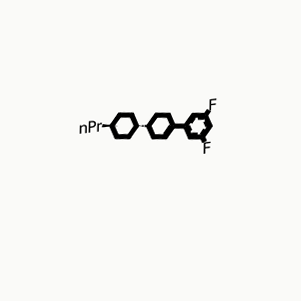 CCC[C@H]1CC[C@H](C2CC=C(c3cc(F)cc(F)c3)CC2)CC1